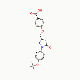 CC(C)(C)Oc1ccc(N2CC(COc3ccc(C(=O)O)cc3)CC2=O)cc1